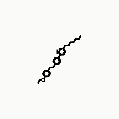 CCCCCCCc1ccc(-c2ccc(CCc3ccc(OCC)cc3)cc2)nc1